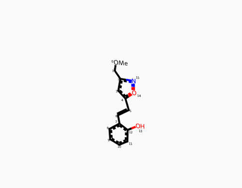 COCc1cc(C=Cc2ccccc2O)on1